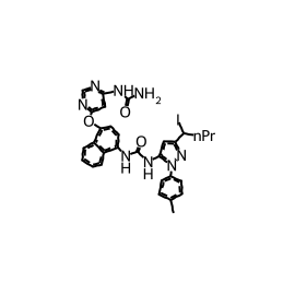 CCCC(I)c1cc(NC(=O)Nc2ccc(Oc3cc(NC(N)=O)ncn3)c3ccccc23)n(-c2ccc(C)cc2)n1